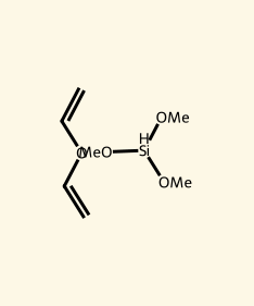 C=COC=C.CO[SiH](OC)OC